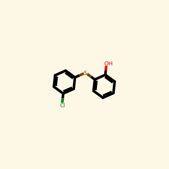 Oc1ccccc1Sc1cccc(Cl)c1